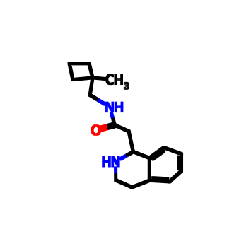 CC1(CNC(=O)CC2NCCc3ccccc32)CCC1